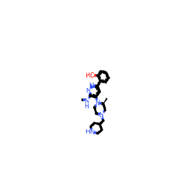 CNc1nnc(-c2ccccc2O)cc1N1CCN(CC2CCNCC2)C[C@@H]1C